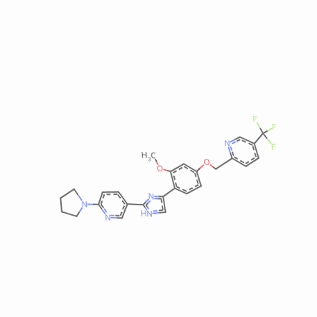 COc1cc(OCc2ccc(C(F)(F)F)cn2)ccc1-c1c[nH]c(-c2ccc(N3CCCC3)nc2)n1